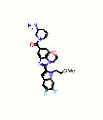 COCCn1c(-c2nc3cc(C(=O)N4CCCC(N)C4)cc4c3n2CCO4)cc2cc(F)c(F)cc21